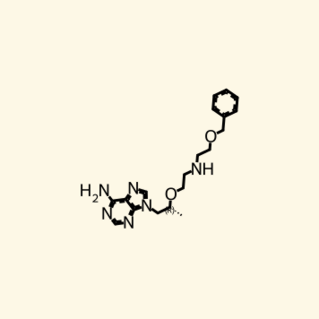 C[C@H](Cn1cnc2c(N)ncnc21)OCCNCCOCc1ccccc1